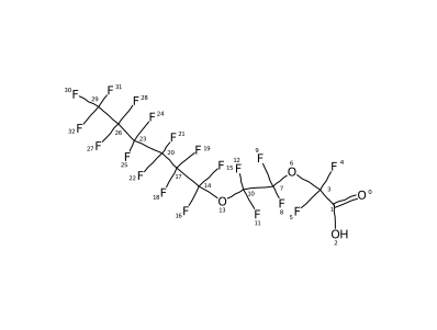 O=C(O)C(F)(F)OC(F)(F)C(F)(F)OC(F)(F)C(F)(F)C(F)(F)C(F)(F)C(F)(F)C(F)(F)F